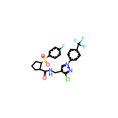 O=C(NCc1cn(-c2ccc(C(F)(F)F)cc2)nc1Cl)C1CCCC1S(=O)(=O)c1ccc(F)cc1